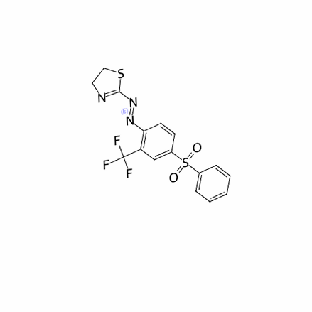 O=S(=O)(c1ccccc1)c1ccc(/N=N/C2=NCCS2)c(C(F)(F)F)c1